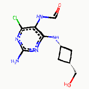 Nc1nc(Cl)c(NC=O)c(N[C@H]2C[C@@H](CO)C2)n1